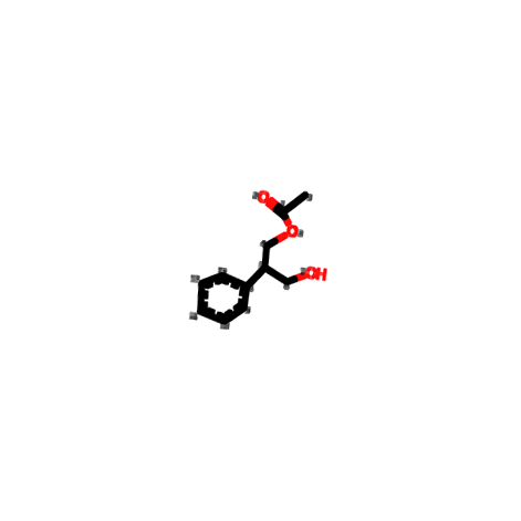 CC(=O)OCC(CO)c1ccccc1